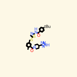 Cc1ccc(CSc2cnc(NC(=O)c3ccc(C(C)(C)C)cc3)s2)cc1C(=O)N1CCC(c2nn[nH]n2)CC1